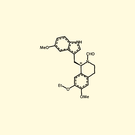 CCOc1cc2c(cc1OC)CCN(C=O)[C@@H]2Cc1c[nH]c2ccc(OC)cc12